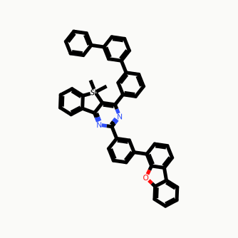 C[Si]1(C)c2ccccc2-c2nc(-c3cccc(-c4cccc5c4oc4ccccc45)c3)nc(-c3cccc(-c4cccc(-c5ccccc5)c4)c3)c21